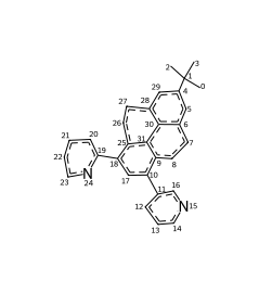 CC(C)(C)c1cc2ccc3c(-c4cccnc4)cc(-c4ccccn4)c4ccc(c1)c2c34